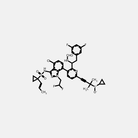 CC=CC1(S(=O)(=O)Nc2nn(CC(F)F)c3c(-c4ccc(C#CC(C)(C)[S+]([O-])C5CC5)nc4C(Cc4cc(F)cc(F)c4)NC=O)ccc(Cl)c23)CC1